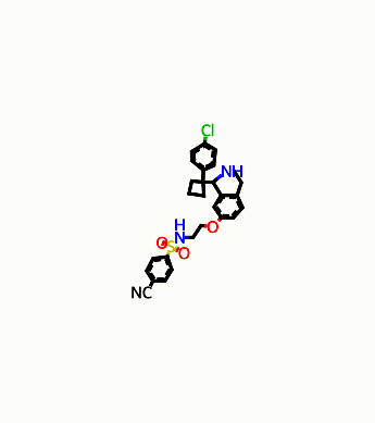 N#Cc1ccc(S(=O)(=O)NCCOc2ccc3c(c2)C(C2(c4ccc(Cl)cc4)CCC2)NCC3)cc1